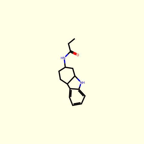 CCC(=O)NC1CCC2c3ccccc3NC2C1